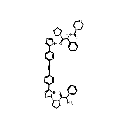 N[C@@H](C(=O)N1CCC[C@H]1c1ncc(-c2ccc(C#Cc3ccc(-c4cnc([C@@H]5CCCN5C(=O)[C@H](NC(=O)N5CCOCC5)c5ccccc5)[nH]4)cc3)cc2)[nH]1)c1ccccc1